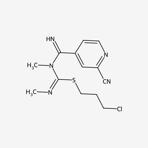 C/N=C(/SCCCCl)N(C)C(=N)c1ccnc(C#N)c1